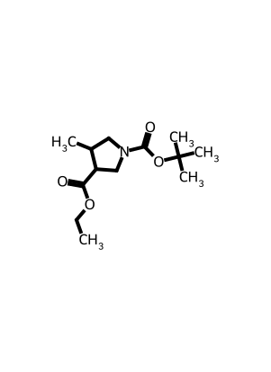 CCOC(=O)C1CN(C(=O)OC(C)(C)C)CC1C